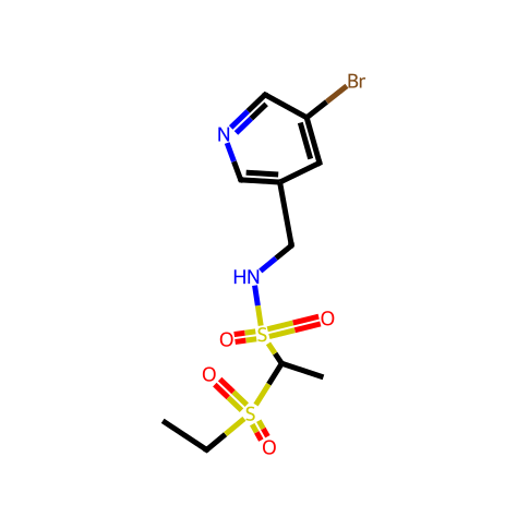 CCS(=O)(=O)C(C)S(=O)(=O)NCc1cncc(Br)c1